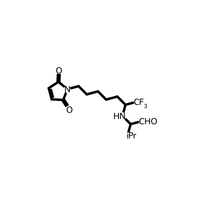 CC(C)C(C=O)NC(CCCCCN1C(=O)C=CC1=O)C(F)(F)F